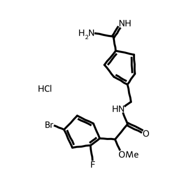 COC(C(=O)NCc1ccc(C(=N)N)cc1)c1ccc(Br)cc1F.Cl